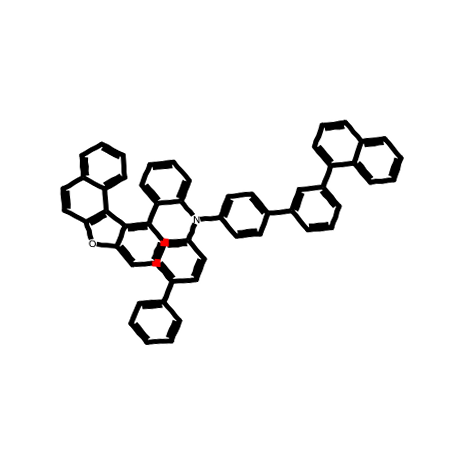 c1ccc(-c2ccc(N(c3ccc(-c4cccc(-c5cccc6ccccc56)c4)cc3)c3ccccc3-c3cccc4oc5ccc6ccccc6c5c34)cc2)cc1